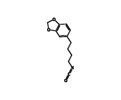 O=C=NCCCCc1ccc2c(c1)OCO2